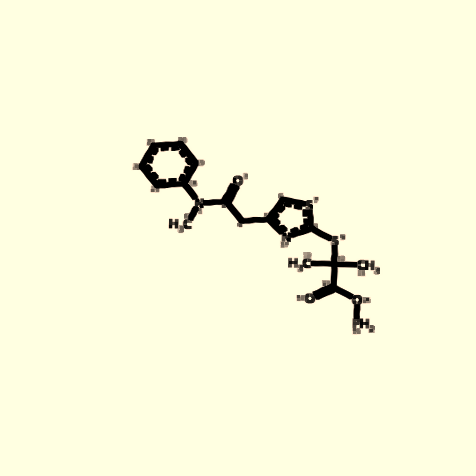 CN(C(=O)Cc1csc(SC(C)(C)C(=O)OP)n1)c1ccccc1